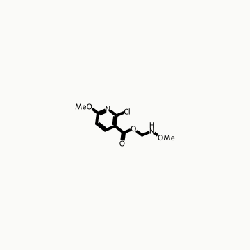 CONCOC(=O)c1ccc(OC)nc1Cl